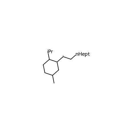 CCCCCCCC[CH]C1CC(C)CCC1C(C)C